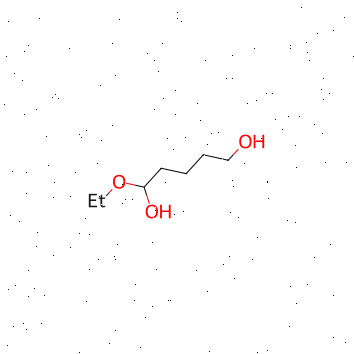 CCOC(O)CCCCO